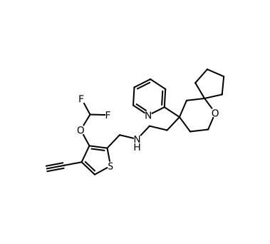 C#Cc1csc(CNCCC2(c3ccccn3)CCOC3(CCCC3)C2)c1OC(F)F